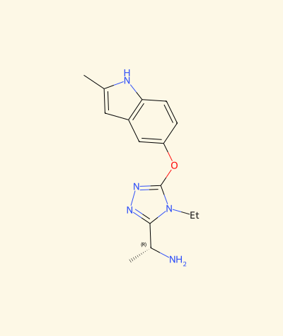 CCn1c(Oc2ccc3[nH]c(C)cc3c2)nnc1[C@@H](C)N